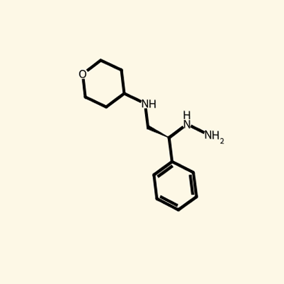 NN[C@H](CNC1CCOCC1)c1ccccc1